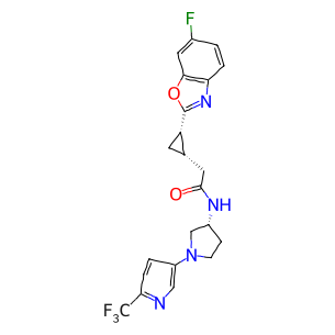 O=C(C[C@@H]1C[C@@H]1c1nc2ccc(F)cc2o1)N[C@@H]1CCN(c2ccc(C(F)(F)F)nc2)C1